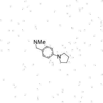 CNCc1ccc(N2CCCC2)cc1